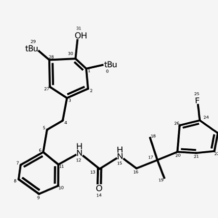 CC(C)(C)c1cc(CCc2ccccc2NC(=O)NCC(C)(C)c2cccc(F)c2)cc(C(C)(C)C)c1O